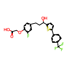 O=C(O)COc1ccc(CCC(O)c2ccc(-c3ccc(C(F)(F)F)cc3)s2)cc1F